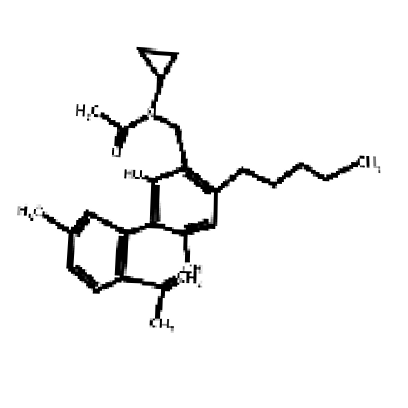 C=C(C)c1ccc(C)cc1-c1c(O)cc(CCCCC)c(CN(C(C)=O)C2CC2)c1O